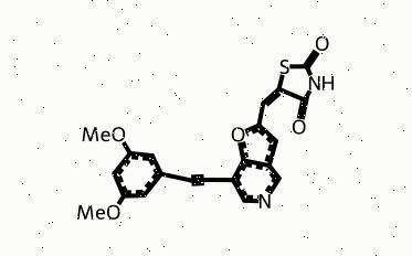 COc1cc(C#Cc2cncc3cc(C=C4SC(=O)NC4=O)oc23)cc(OC)c1